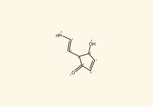 CCCC=CC1C(=O)C=CC1O